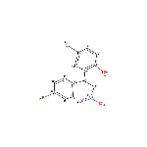 Cc1ccc(O)c(C(C[N+](=O)[O-])c2ccc(F)cc2)c1